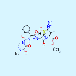 CCN1CCN(C(=O)NC(C(=O)NC2C(=O)N3C(C(=O)OCC(Cl)(Cl)Cl)=C(C)C(=[N+]=[N-])[S+]([O-])[C@H]23)c2ccccc2)C(=O)C1=O